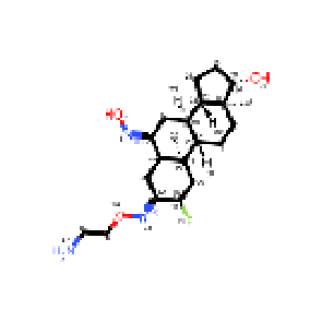 C[C@]12CC[C@H]3[C@@H](C/C(=N\O)C4C/C(=N\OCCN)[C@H](F)C[C@@]43C)[C@@H]1CC[C@@H]2O